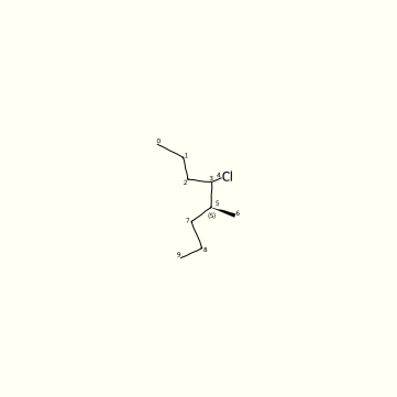 CCCC(Cl)[C@@H](C)CCC